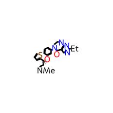 CCc1ncc2c(n1)N(C)CCN(c1cccc(O[C@@H](CCNC)c3cccs3)c1)C2=O